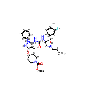 COCCN1C[C@@H](NC(=O)Nc2c(C)c(OC3CCN(C(=O)OC(C)(C)C)CC3)nn2-c2ccccc2)[C@H](c2ccc(F)c(F)c2)O1